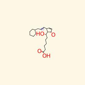 O=C(O)CCCCCC(O)C1C(=O)C=CC1/C=C/CC1CCCCC1